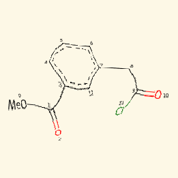 COC(=O)c1cccc(CC(=O)Cl)c1